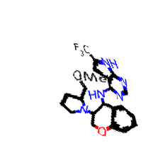 COCC1CCCN1C1COc2ccccc2C1Nc1ncnc2[nH]c(C(F)(F)F)cc12